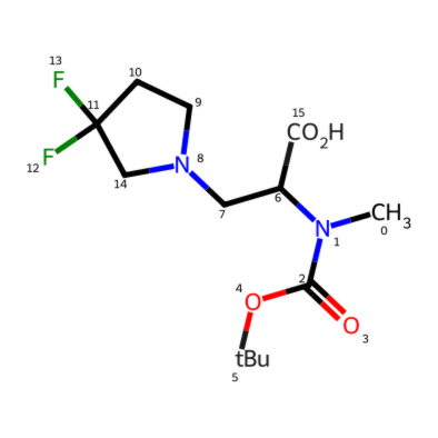 CN(C(=O)OC(C)(C)C)C(CN1CCC(F)(F)C1)C(=O)O